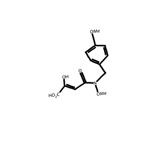 COc1ccc(CN(OC)C(=O)/C=C(\O)C(=O)O)cc1